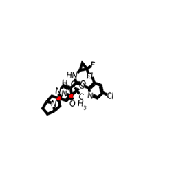 CC(C)(Oc1ncc(Cl)cc1Cl)C(=O)NC1CC2CCC(C1)N2c1ccc(C(=O)NC2CC2(F)F)cn1